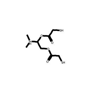 [CH3][SnH]([CH3])[CH](COC(=O)CS)OC(=O)CS